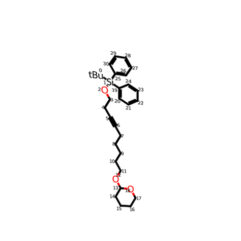 CC(C)(C)[Si](OCCC#CCCCCCOC1CCCCO1)(c1ccccc1)c1ccccc1